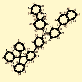 c1ccc(C2(c3ccccc3)c3ccccc3-c3ccc(-c4ccc(N(c5cccc(-c6ccc7ccccc7c6)c5)c5ccc6c(c5)oc5ccccc56)cc4)cc32)cc1